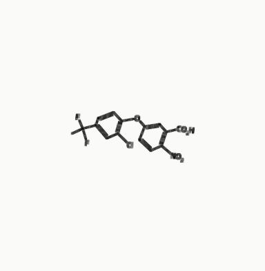 CC(F)(F)c1ccc(Oc2ccc([N+](=O)[O-])c(C(=O)O)c2)c(Cl)c1